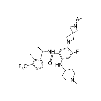 CC(=O)N1CC2(C1)CN(c1cc(C(=O)N[C@H](C)c3cccc(C(F)(F)F)c3C)c(NC3CCN(C)CC3)cc1F)C2